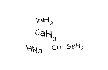 [Cu].[GaH3].[InH3].[NaH].[SeH2]